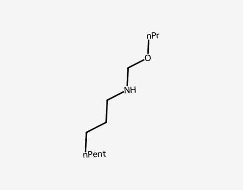 CCCCCCCCNCOCCC